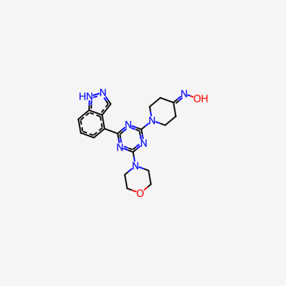 ON=C1CCN(c2nc(-c3cccc4[nH]ncc34)nc(N3CCOCC3)n2)CC1